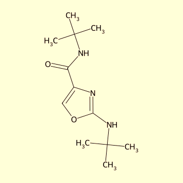 CC(C)(C)NC(=O)c1coc(NC(C)(C)C)n1